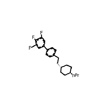 CCC[C@H]1CC[C@H](CCc2ccc(-c3cc(F)c(F)c(F)c3)cc2)CC1